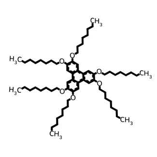 CCCCCCCCOc1cc2c3cc(OCCCCCCCC)c(OCCCCCCCC)cc3c3cc(OCCCCCCCC)c(OCCCCCCCC)cc3c2cc1OCCCCCCCC